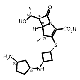 C[C@@H](O)[C@H]1C(=O)N2C(C(=O)O)=C(S[C@H]3C[C@H](N[C@H]4CC[C@@H](N)C4)C3)[C@H](C)[C@H]12